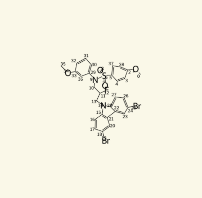 COc1ccc(S(=O)(=O)N(CC(F)Cn2c3ccc(Br)cc3c3cc(Br)ccc32)c2cccc(OC)c2)cc1